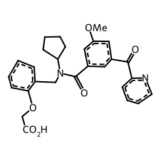 COc1cc(C(=O)c2ccccn2)cc(C(=O)N(Cc2ccccc2OCC(=O)O)C2CCCC2)c1